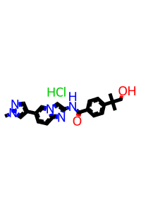 Cl.Cn1cc(-c2ccc3nc(NC(=O)c4ccc(C(C)(C)CO)cc4)cn3c2)cn1